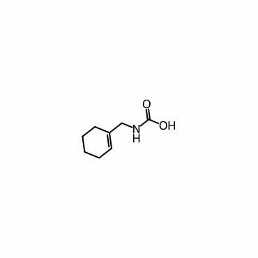 O=C(O)NCC1=CCCCC1